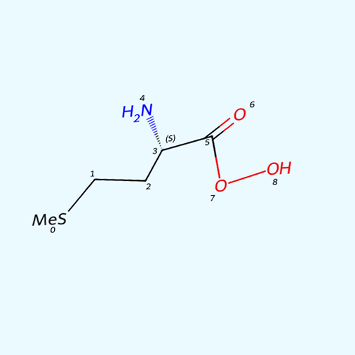 CSCC[C@H](N)C(=O)OO